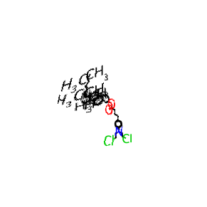 CC(C)CCC[C@@H](C)[C@H]1CC[C@H]2[C@@H]3CC=C4CC(OC(=O)CCCc5ccc(N(CCCl)CCCl)cc5)CC[C@]4(C)[C@H]3CC[C@]12C